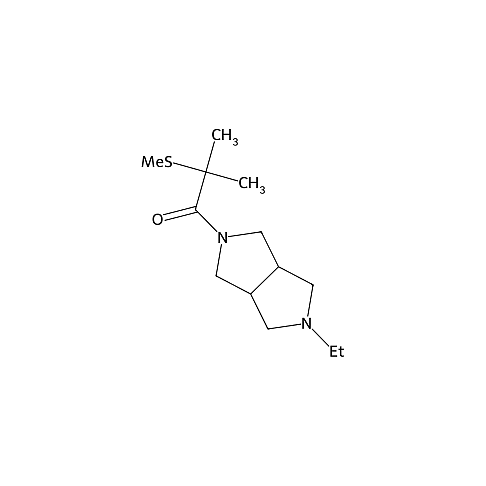 CCN1CC2CN(C(=O)C(C)(C)SC)CC2C1